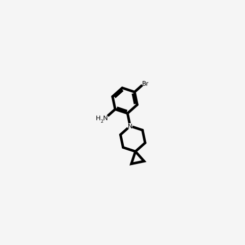 Nc1ccc(Br)cc1N1CCC2(CC1)CC2